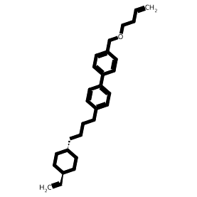 C=CCCOCc1ccc(-c2ccc(CCCC[C@H]3CC[C@H](C=C)CC3)cc2)cc1